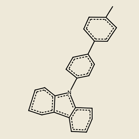 Cc1ccc(-c2ccc(-n3c4ccccc4c4ccccc43)cc2)cc1